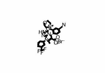 COC(=O)C1=C(C)N(c2cccc(C(F)(F)F)c2)c2n[nH]c(=O)n2[C@@H]1c1ccc(C#N)cc1C[N+]1(C)CCOCC1.[Br-]